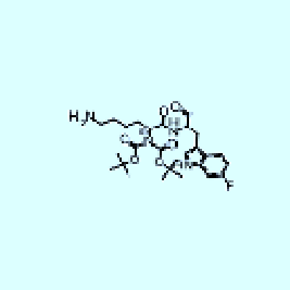 CC(C)(C)OC(=O)N(C(=O)OC(C)(C)C)[C@@H](CCCCN)C(=O)NC([C]=O)Cc1c[nH]c2cc(F)ccc12